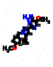 COc1ccc(Cn2nc(-c3ncc(OC)c(N)n3)cc2C2CC2)cc1